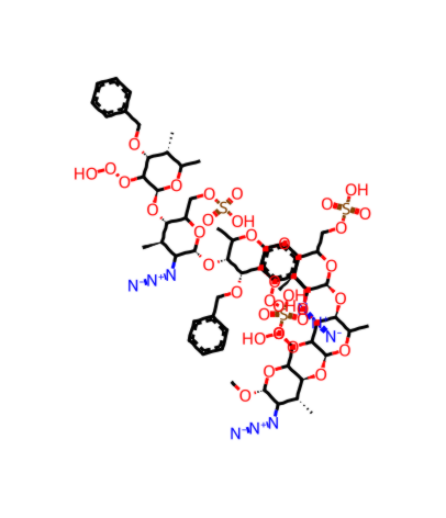 CO[C@@H]1OC(COS(=O)(=O)O)[C@@H](O[C@@H]2OC(C)[C@H](O[C@@H]3OC(COS(=O)(=O)O)[C@@H](O[C@@H]4OC(C)[C@@H](O[C@H]5OC(COS(=O)(=O)O)[C@@H](O[C@@H]6OC(C)[C@@H](C)[C@@H](OCc7ccccc7)C6OOO)[C@H](C)C5N=[N+]=[N-])[C@@H](OCc5ccccc5)C4OOO)[C@H](C)C3N=[N+]=[N-])[C@@H](OCc3ccccc3)C2OOO)[C@H](C)C1N=[N+]=[N-]